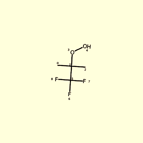 CC(C)(OO)C(F)(F)F